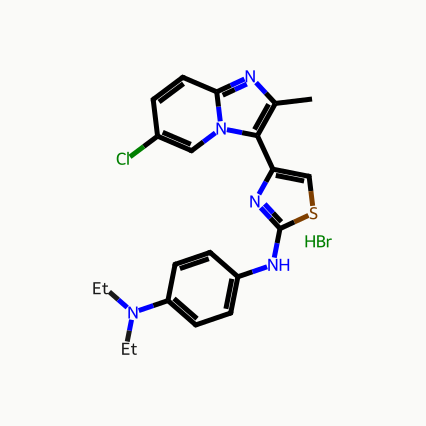 Br.CCN(CC)c1ccc(Nc2nc(-c3c(C)nc4ccc(Cl)cn34)cs2)cc1